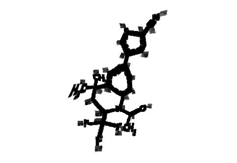 CC(=O)N1c2ccc(-c3csc(C#N)c3)cc2C(C)(C)CC1C(F)(F)F